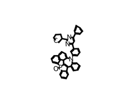 O=P1(c2ccccc2)C2=C(c3ccccc3N(c3cccc(-c4cc(-c5ccccc5)nc(C5CCCCC5)n4)c3)C3=CC=CCC32)c2ccccc21